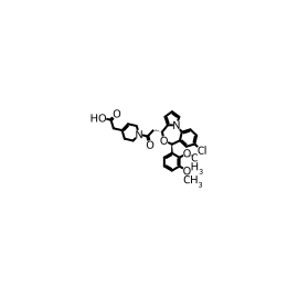 COc1cccc([C@H]2O[C@H](CC(=O)N3CC=C(CC(=O)O)CC3)c3cccn3-c3ccc(Cl)cc32)c1OC